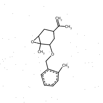 C=C(C)C1CC(OCc2ccccc2C)C2(C)OC2C1